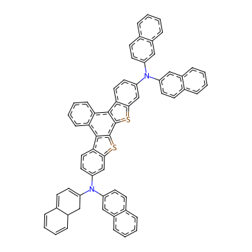 C1=CC2=CC=C(N(c3ccc4ccccc4c3)c3ccc4c(c3)sc3c5sc6cc(N(c7ccc8ccccc8c7)c7ccc8ccccc8c7)ccc6c5c5ccccc5c43)CC2C=C1